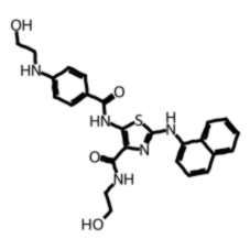 O=C(Nc1sc(Nc2cccc3ccccc23)nc1C(=O)NCCO)c1ccc(NCCO)cc1